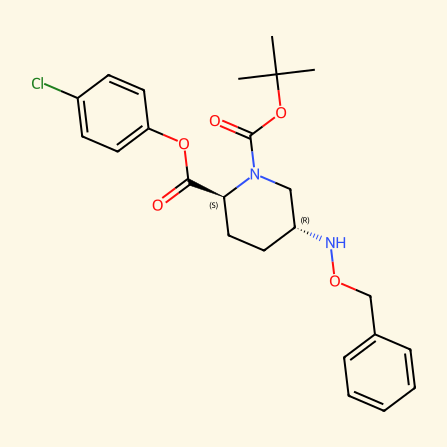 CC(C)(C)OC(=O)N1C[C@H](NOCc2ccccc2)CC[C@H]1C(=O)Oc1ccc(Cl)cc1